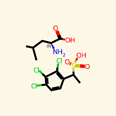 CC(C)C[C@H](N)C(=O)O.CC(c1ccc(Cl)c(Cl)c1Cl)S(=O)(=O)O